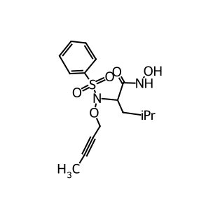 CC#CCON(C(CC(C)C)C(=O)NO)S(=O)(=O)c1ccccc1